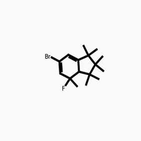 CC1(F)C=C(Br)C=C2C1C(C)(C)C(C)(C)C2(C)C